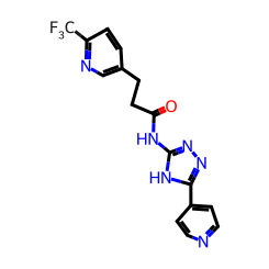 O=C(CCc1ccc(C(F)(F)F)nc1)Nc1nnc(-c2ccncc2)[nH]1